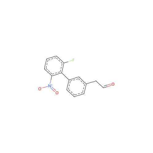 O=CCc1cccc(-c2c(F)cccc2[N+](=O)[O-])c1